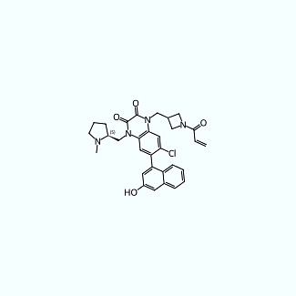 C=CC(=O)N1CC(Cn2c(=O)c(=O)n(C[C@@H]3CCCN3C)c3cc(-c4cc(O)cc5ccccc45)c(Cl)cc32)C1